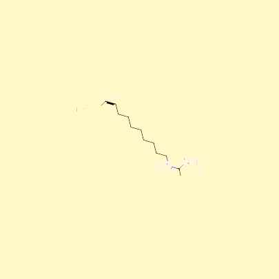 CCCCCCCC/C=C\CCCCCCCCNC(N)CC